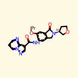 CC(C)Oc1cc2c(cc1NC(=O)c1cnn3cccnc13)CN([C@H]1CCOC1)C2=O